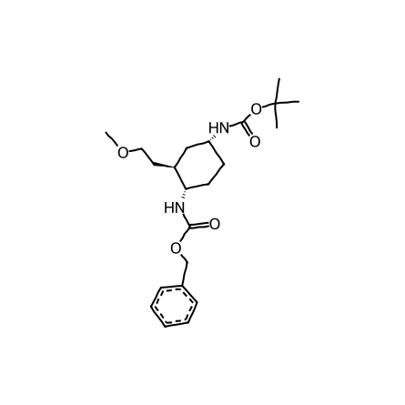 COCC[C@H]1C[C@H](NC(=O)OC(C)(C)C)CC[C@@H]1NC(=O)OCc1ccccc1